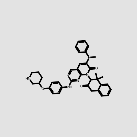 CN(c1ccccc1)c1cc2cnc(Nc3ccc(OC4CCCNC4)cc3)nc2n(C2C(=O)Cc3ccccc3C2(C)C)c1=O